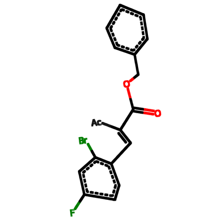 CC(=O)C(=Cc1ccc(F)cc1Br)C(=O)OCc1ccccc1